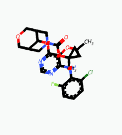 CCOc1c(Nc2c(F)cccc2Cl)ncnc1OC1C2COCC1CN(C(=O)OC1(C)CC1)C2